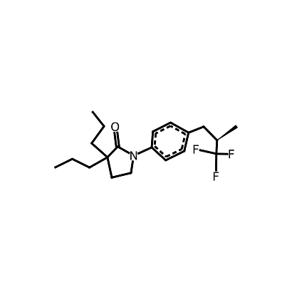 CCCC1(CCC)CCN(c2ccc(C[C@@H](C)C(F)(F)F)cc2)C1=O